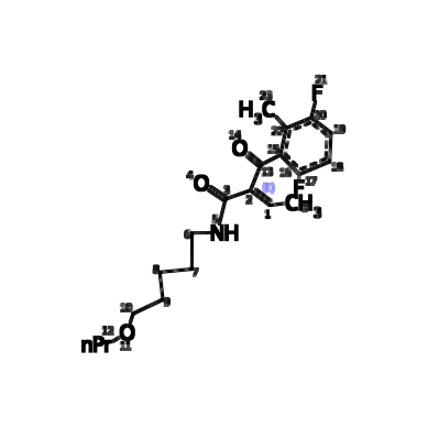 C/C=C(/C(=O)NCCCCCOCCC)C(=O)c1c(F)ccc(F)c1C